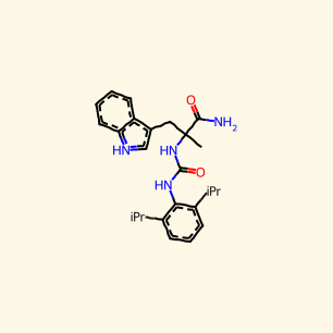 CC(C)c1cccc(C(C)C)c1NC(=O)NC(C)(Cc1c[nH]c2ccccc12)C(N)=O